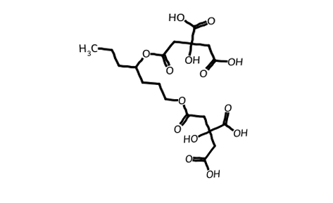 CCCC(CCCOC(=O)CC(O)(CC(=O)O)C(=O)O)OC(=O)CC(O)(CC(=O)O)C(=O)O